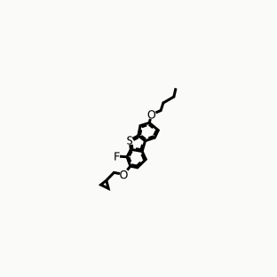 CCCCOc1ccc2c(c1)sc1c(F)c(OCC3CC3)ccc12